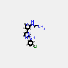 NCCNc1cc(-c2ccnc(Nc3cccc(Cl)c3)n2)ccn1